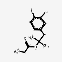 CC(C)(Cc1ccc(F)c(F)c1)OC(=O)CN